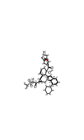 CO[C@@]1(C(=O)N2CC34CNCC3(COC4)C2)CC=CC2=C3C(=C3C(=O)NS(=O)(=O)N(C)C)Cn3c(cc4cccc(C5CCCCC5)c43)C21